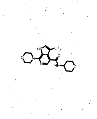 Cc1c[nH]c2c(N3CCOCC3)ncc(C(=O)NC3CCOCC3)c12